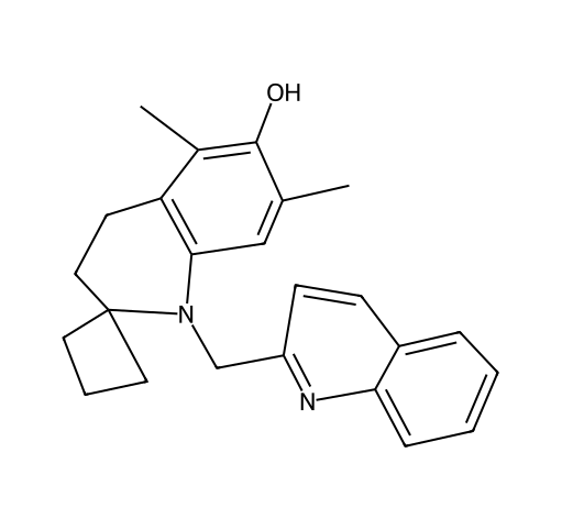 Cc1cc2c(c(C)c1O)CCC1(CCC1)N2Cc1ccc2ccccc2n1